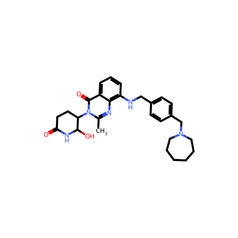 Cc1nc2c(NCc3ccc(CN4CCCCCC4)cc3)cccc2c(=O)n1C1CCC(=O)NC1O